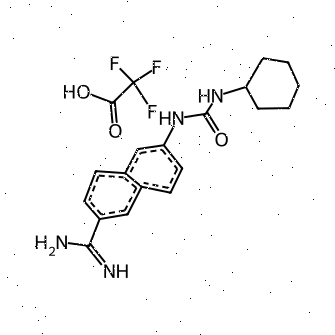 N=C(N)c1ccc2cc(NC(=O)NC3CCCCC3)ccc2c1.O=C(O)C(F)(F)F